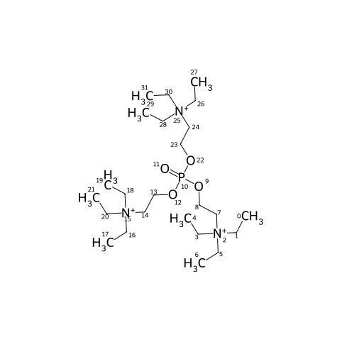 CC[N+](CC)(CC)CCOP(=O)(OCC[N+](CC)(CC)CC)OCC[N+](CC)(CC)CC